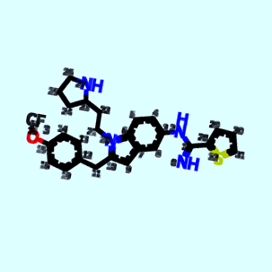 N=C(Nc1ccc2c(c1)cc(Cc1ccc(OC(F)(F)F)cc1)n2CCC1CCCN1)c1cccs1